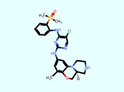 Cc1cc(Nc2ncc(Cl)c(Nc3ccccc3P(C)(C)=O)n2)cc2c1OC[C@@H]1CNCCN21